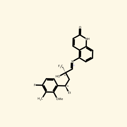 CC[C@H](C[C@@](O)(/C=N/c1cccc2[nH]c(=O)ccc12)C(F)(F)F)c1ccc(F)c(C)c1OC